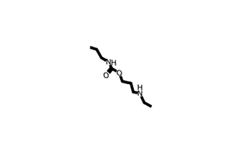 CCCNC(=O)OCCCNCC